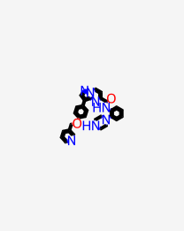 O=C(Nc1ccccc1N1CCNCC1)c1ccn2ncc(-c3ccc(OCc4cccnc4)cc3)c2n1